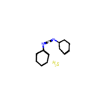 C(=NC1CCCCC1)=NC1CCCCC1.S